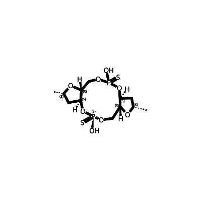 C[C@H]1C[C@@H]2OP(O)(=S)OC[C@H]3O[C@@H](C)C[C@@H]3O[P@@](O)(=S)OC[C@H]2O1